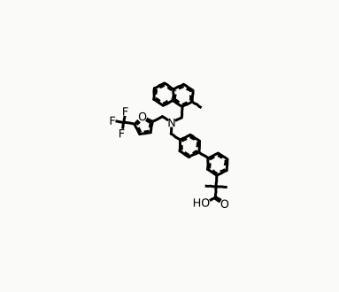 Cc1ccc2ccccc2c1CN(Cc1ccc(-c2cccc(C(C)(C)C(=O)O)c2)cc1)Cc1ccc(C(F)(F)F)o1